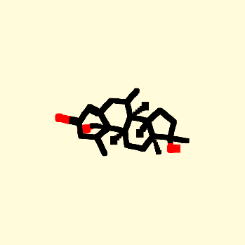 CC1CC2=CC(=O)CC(C)[C@]2(CO)[C@@H]2CC[C@@]3(C)[C@@H](CCC3(C)O)[C@H]12